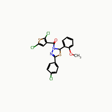 COc1ccccc1C1SC(c2ccc(Cl)cc2)=NN1C(=O)c1cc(Cl)sc1Cl